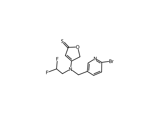 FC(F)CN(Cc1ccc(Br)nc1)C1=CC(=S)OC1